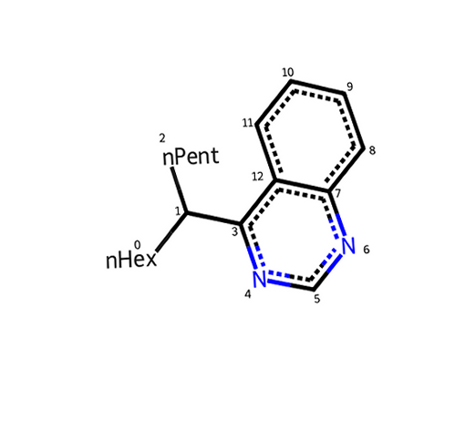 CCCCCCC(CCCCC)c1ncnc2ccccc12